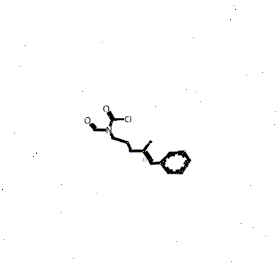 C/C(=C\c1ccccc1)CCCN(C=O)C(=O)Cl